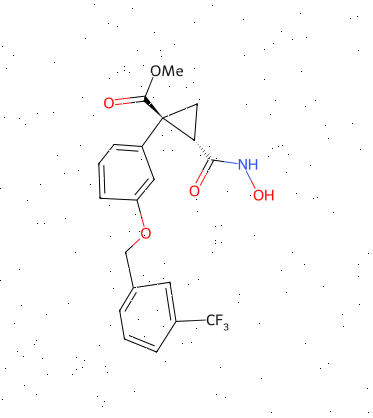 COC(=O)[C@@]1(c2cccc(OCc3cccc(C(F)(F)F)c3)c2)C[C@@H]1C(=O)NO